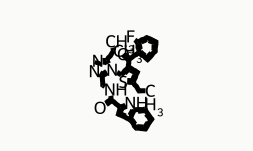 CCc1cc(C(=O)c2ccccc2F)c(-n2c(CNC(=O)c3cc4ccccc4[nH]3)nnc2C(C)C)s1